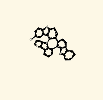 Clc1ccc2oc3ccc4c(c3c2c1)-n1c2ccccc2c2cccc(c21)-c1c-4ccc2c1oc1ccccc12